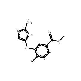 COC(=O)c1ccc(C)c(Sc2cnc(N)s2)c1